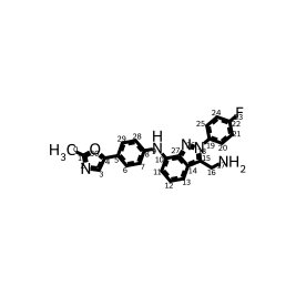 Cc1ncc(-c2ccc(Nc3cccc4c(CN)n(-c5ccc(F)cc5)nc34)cc2)o1